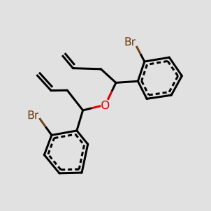 C=CCC(OC(CC=C)c1ccccc1Br)c1ccccc1Br